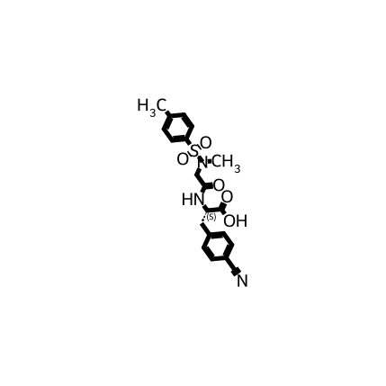 Cc1ccc(S(=O)(=O)N(C)CC(=O)N[C@@H](Cc2ccc(C#N)cc2)C(=O)O)cc1